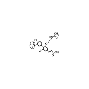 CC(=O)NCCCOc1cc(/C=C/C(=O)O)cc(Cl)c1-c1ccc(O)c(C23CC4CC(CC(C4)C2)C3)c1